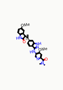 COc1ccc2c(c1)[C@]1(C[C@H]1c1ccc3c(Nc4cnc(C(=O)N(C)C)cc4OC)n[nH]c3c1)C(=O)N2